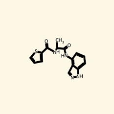 CC(NC(=O)c1cccs1)C(=O)Nc1cccc2[nH]ncc12